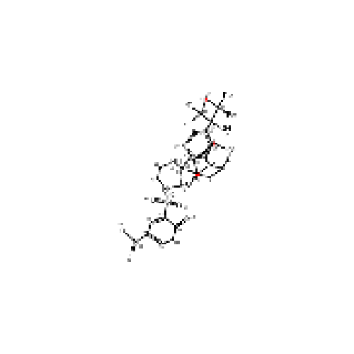 O=C1CC2COCC(C1)N2C[C@@]1(c2ncc(C(O)(C(F)(F)F)C(F)(F)F)cn2)CN(S(=O)(=O)C2=CC([N+](=O)[O-])=CCC2=S)CCN1